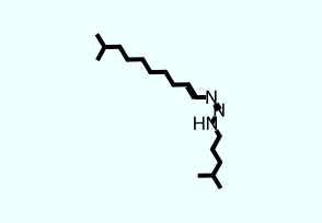 CC(C)CCCCCC/C=C/N=N\NCCCC(C)C